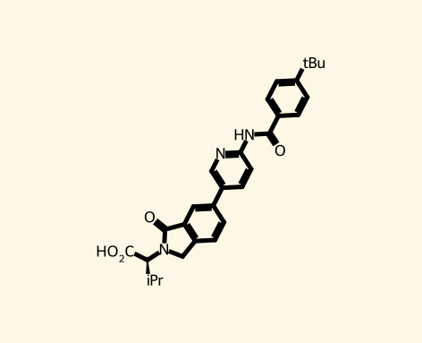 CC(C)[C@@H](C(=O)O)N1Cc2ccc(-c3ccc(NC(=O)c4ccc(C(C)(C)C)cc4)nc3)cc2C1=O